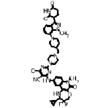 Cn1nc(C2CCC(=O)NC2=O)c2cccc(N3CCC(CN4CCN(c5nc(Cl)c(C#N)c(Nc6ccc7c(c6)c6c(c(=O)n7C)OCC(F)(F)C(C7CC7)N6)n5)CC4)CC3)c21